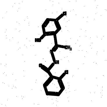 C/C(=N\NC(=O)c1ccccc1Cl)c1cc(Cl)ccc1O